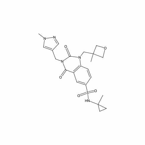 Cn1cc(Cn2c(=O)c3cc(S(=O)(=O)NC4(C)CC4)ccc3n(CC3(C)COC3)c2=O)cn1